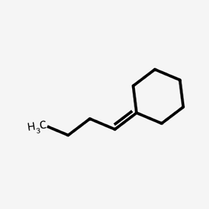 CCCC=C1CCCCC1